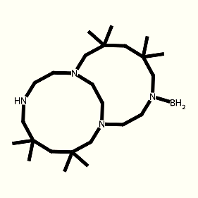 BN1CCN2CCN(CCNCC(C)(C)CC(C)(C)C2)CC(C)(C)CC(C)(C)C1